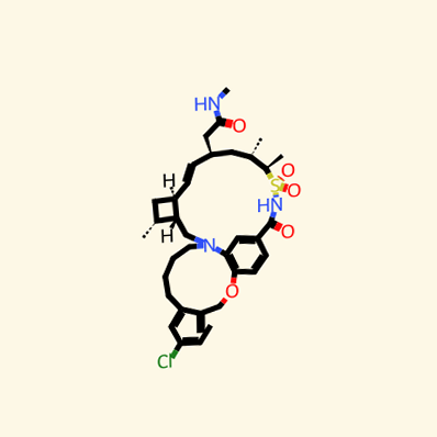 C=C1COc2ccc3cc2N(CCCC/C1=C/C(Cl)=C\C)C[C@@H]1[C@H](C)C[C@H]1/C=C/[C@@H](CC(=O)NC)C[C@H](C)[C@@H](C)S(=O)(=O)NC3=O